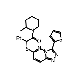 CCC(Sc1ccc2nnc(-c3cccs3)n2n1)C(=O)N1CCCCC1C